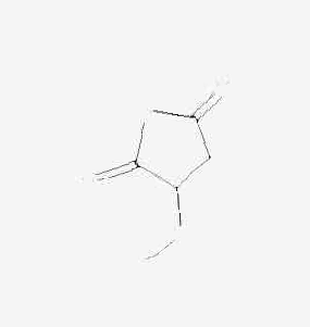 COC1CC(=O)OC1=O